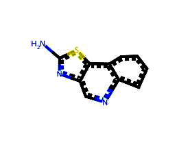 Nc1nc2cnc3ccccc3c2s1